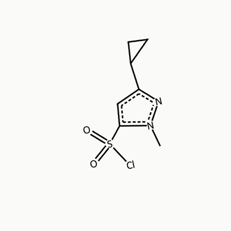 Cn1nc(C2CC2)cc1S(=O)(=O)Cl